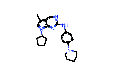 Cc1cn(C2CCCC2)c2nc(Nc3ccc(N4CCCCC4)cc3)ncc12